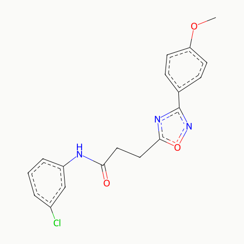 COc1ccc(-c2noc(CCC(=O)Nc3cccc(Cl)c3)n2)cc1